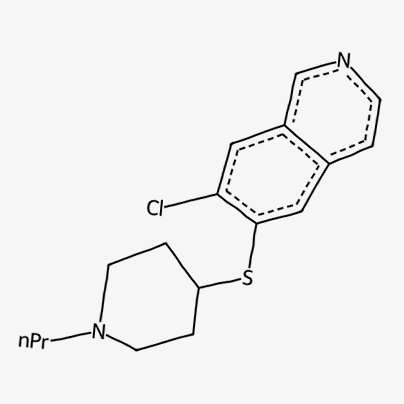 CCCN1CCC(Sc2cc3ccncc3cc2Cl)CC1